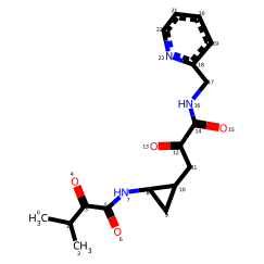 CC(C)C(=O)C(=O)NC1CC1CC(=O)C(=O)NCc1ccccn1